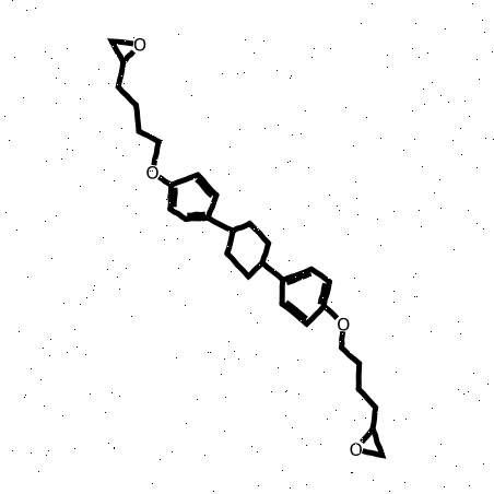 c1cc(C2CCC(c3ccc(OCCCCC4CO4)cc3)CC2)ccc1OCCCCC1CO1